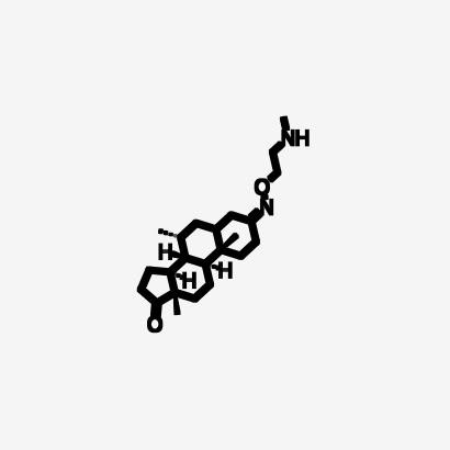 CNCCO/N=C1/CC[C@@]2(C)C(C1)C[C@@H](C)[C@@H]1[C@@H]2CC[C@]2(C)C(=O)CC[C@@H]12